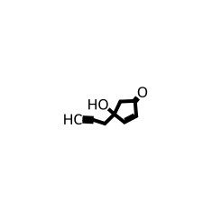 C#CCC1(O)C=CC(=O)C1